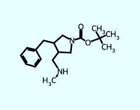 CNCC1CN(C(=O)OC(C)(C)C)CC1Cc1ccccc1